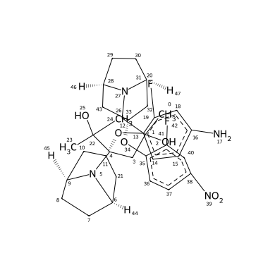 CC(O)(CC(N1[C@@H]2CC[C@H]1C[C@H](Oc1ccc(N)cc1F)C2)C(C)(C)O)CN1[C@@H]2CC[C@H]1C[C@H](Oc1ccc([N+](=O)[O-])cc1F)C2